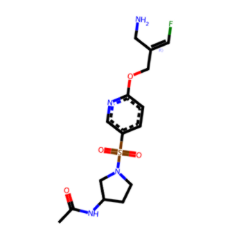 CC(=O)NC1CCN(S(=O)(=O)c2ccc(OC/C(=C/F)CN)nc2)C1